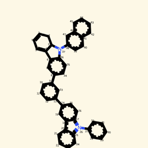 C1=CCC2C(=C1)c1cc(-c3cccc(-c4ccc5c(c4)c4ccccc4n5-c4ccccc4)c3)ccc1N2c1ccc2ccccc2c1